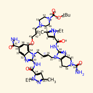 CCn1nc(C)cc1C(=O)Nc1nc2c(n1C/C=C/Cn1c(NC(=O)c3cc(C)nn3CC)nc3cc(C(N)=O)cc(OCCCN4CCN(C(=O)OC(C)(C)C)CC4)c31)CCN(C(N)=O)C2